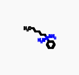 CCCCCC[N+](N)(N)c1ccccc1